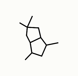 CC1CC(C)C2CC(C)(C)CC12